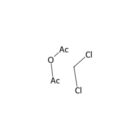 CC(=O)OC(C)=O.ClCCl